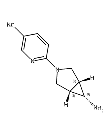 N#Cc1ccc(N2C[C@@H]3[C@H](N)[C@@H]3C2)nc1